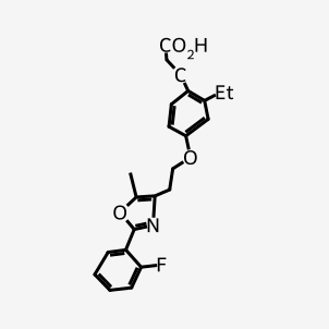 CCc1cc(OCCc2nc(-c3ccccc3F)oc2C)ccc1CCC(=O)O